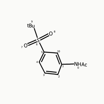 CC(=O)Nc1cccc(S(=O)(=O)C(C)(C)C)c1